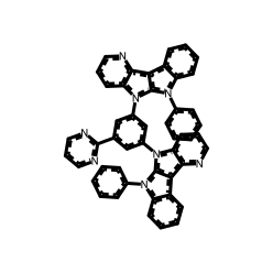 c1ccc(-n2c3ccccc3c3c4ncccc4n(-c4cc(-c5ncccn5)cc(-n5c6cccnc6c6c7ccccc7n(-c7ccccc7)c65)c4)c32)cc1